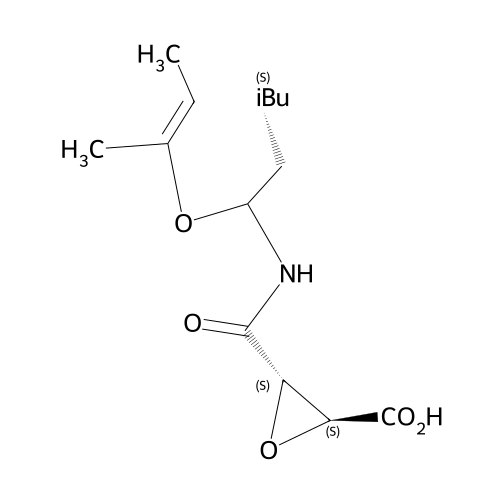 CC=C(C)OC(C[C@@H](C)CC)NC(=O)[C@H]1O[C@@H]1C(=O)O